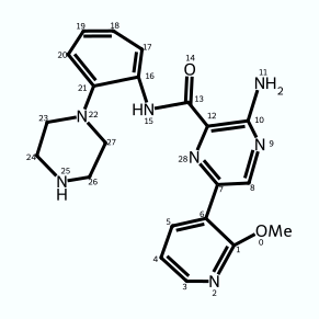 COc1ncccc1-c1cnc(N)c(C(=O)Nc2ccccc2N2CCNCC2)n1